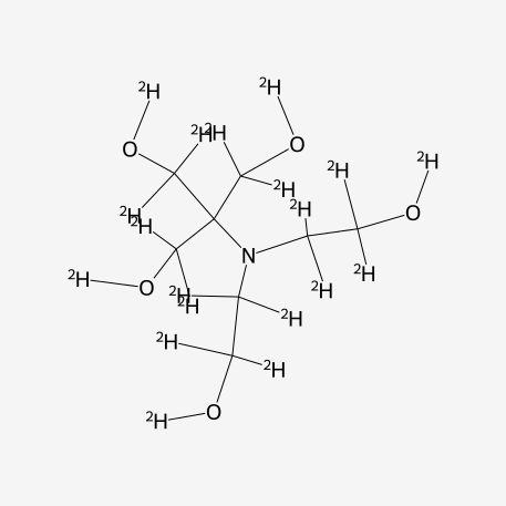 [2H]OC([2H])([2H])C([2H])([2H])N(C([2H])([2H])C([2H])([2H])O[2H])C(C([2H])([2H])O[2H])(C([2H])([2H])O[2H])C([2H])([2H])O[2H]